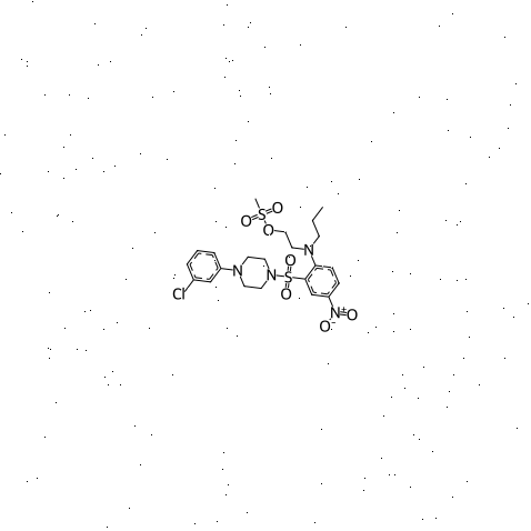 CCCN(CCOS(C)(=O)=O)c1ccc([N+](=O)[O-])cc1S(=O)(=O)N1CCN(c2cccc(Cl)c2)CC1